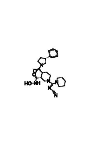 N#C/N=C(\N1CCCCC1)N1CC[C@H](C(=O)N2CC[C@H](c3ccccc3)C2)[C@@H](C(=O)NO)C1